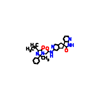 CC(C)C1=N[C@@](C)(c2ccccc2)N(CC(=O)Nc2cc3c(cn2)CC2(C3)C(=O)Nc3ncccc32)C1=O